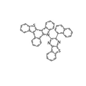 c1ccc2c(-c3nc4sc5ccccc5c4nc3-n3c4ccccc4c4c5sc6ccccc6c5c5ccccc5c43)cccc2c1